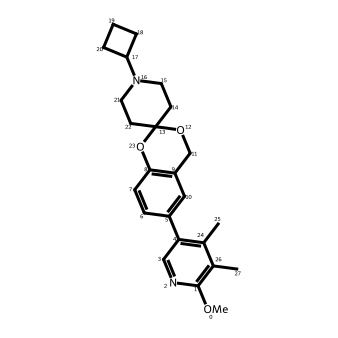 COc1ncc(-c2ccc3c(c2)COC2(CCN(C4CCC4)CC2)O3)c(C)c1C